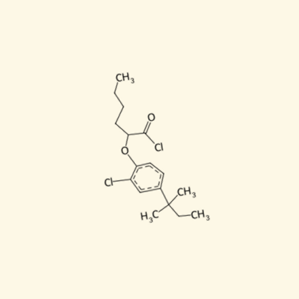 CCCCC(Oc1ccc(C(C)(C)CC)cc1Cl)C(=O)Cl